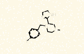 CN1CCN(Cc2ccc(Cl)cc2)C(C2=NCCN2)C1